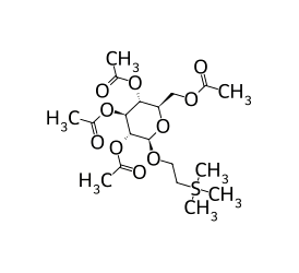 CC(=O)OC[C@H]1O[C@@H](OCCS(C)(C)C)[C@H](OC(C)=O)[C@@H](OC(C)=O)[C@@H]1OC(C)=O